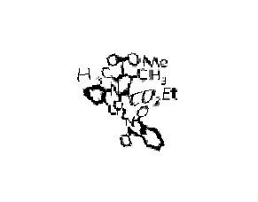 CCOC(=O)C1=C(OCCN2C(=O)c3ccccc3C2=O)N(c2ccccc2Cl)C(C)=C(C(=O)OC)C1C